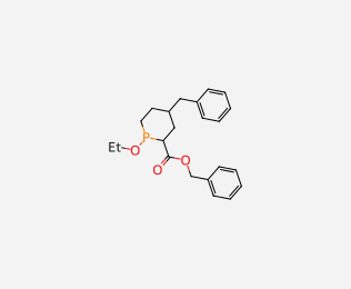 CCOP1CCC(Cc2ccccc2)CC1C(=O)OCc1ccccc1